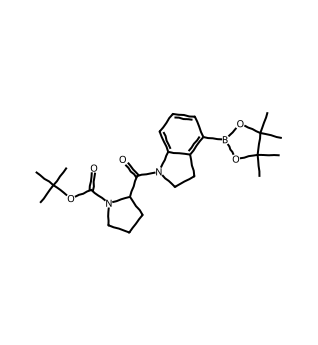 CC(C)(C)OC(=O)N1CCCC1C(=O)N1CCc2c(B3OC(C)(C)C(C)(C)O3)cccc21